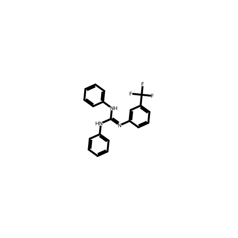 FC(F)(F)c1cccc(N=C(Nc2ccccc2)Nc2ccccc2)c1